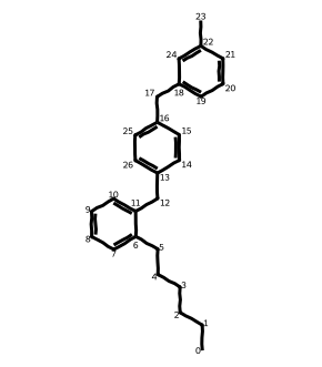 CCCCCCc1ccccc1Cc1ccc(Cc2cccc(C)c2)cc1